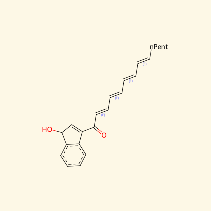 CCCCC/C=C/C=C/C=C/C=C/C(=O)C1=CC(O)c2ccccc21